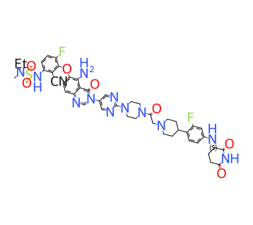 CCN(C)S(=O)(=O)Nc1ccc(F)c(Oc2ccc3ncn(-c4cnc(N5CCN(C(=O)CN6CCC(c7ccc(N[C@H]8CCC(=O)NC8=O)cc7F)CC6)CC5)nc4)c(=O)c3c2N)c1C#N